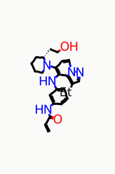 C=CC(=O)Nc1cccc(Nc2c(N3CCCC[C@@H]3CCO)ccn3ncc(CC)c23)c1